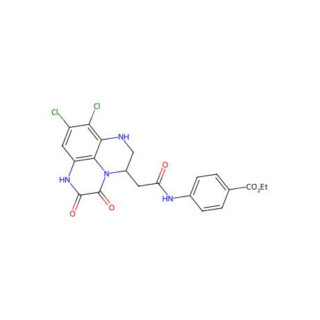 CCOC(=O)c1ccc(NC(=O)CC2CNc3c(Cl)c(Cl)cc4[nH]c(=O)c(=O)n2c34)cc1